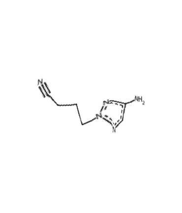 N#CCCCn1ncc(N)n1